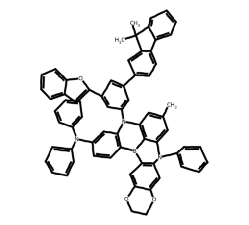 Cc1cc2c3c(c1)N(c1ccccc1)c1cc4c(cc1B3c1ccc(N(c3ccccc3)c3ccccc3)cc1N2c1cc(-c2ccc3c(c2)C(C)(C)c2ccccc2-3)cc(-c2cc3ccccc3o2)c1)OCCO4